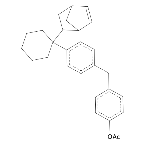 CC(=O)Oc1ccc(Cc2ccc(C3(C4CC5C=CC4C5)CCCCC3)cc2)cc1